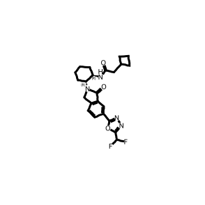 O=C(CC1CCC1)N[C@@H]1CCCC[C@H]1N1Cc2ccc(-c3nnc(C(F)F)o3)cc2C1=O